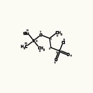 CC(CS(=O)(=O)Cl)O[Si](C)(C)C(C)(C)C